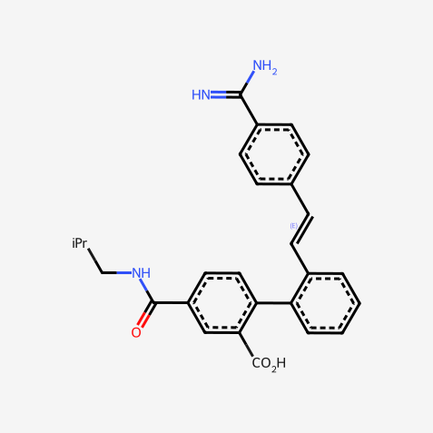 CC(C)CNC(=O)c1ccc(-c2ccccc2/C=C/c2ccc(C(=N)N)cc2)c(C(=O)O)c1